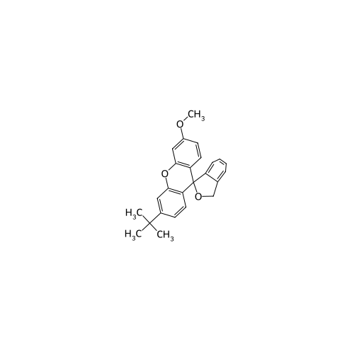 COc1ccc2c(c1)Oc1cc(C(C)(C)C)ccc1C21OCc2ccccc21